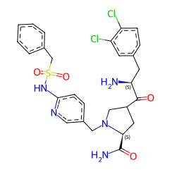 NC(=O)[C@@H]1CC(C(=O)[C@@H](N)Cc2ccc(Cl)c(Cl)c2)CN1Cc1ccc(NS(=O)(=O)Cc2ccccc2)nc1